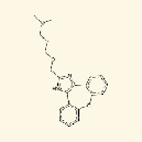 CN(C)CCCOCc1nc2c([nH]1)-c1ccccc1Oc1ccccc1-2